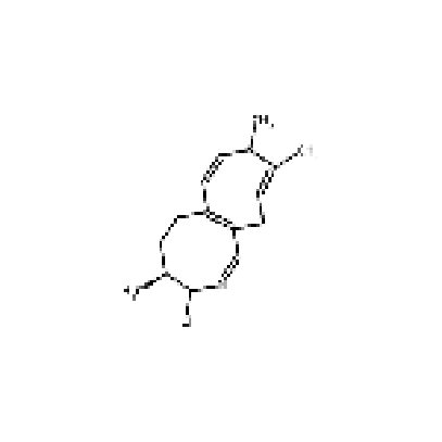 C/C1=C\CC2=C(\C=C/C1C)CC[C@H](C)C(Cl)/N=C\2